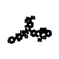 CC[C@@H]1CN(Cc2cc([C@@H](c3ccc4c(nnn4CC)c3C)C(C)(C)NC(=O)c3cnc(N4CCOCC4)nc3)ccc2C)S(=O)(=O)c2ccccc2O1